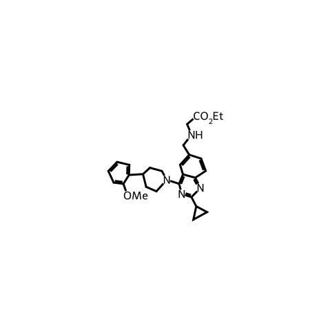 CCOC(=O)CNCc1ccc2nc(C3CC3)nc(N3CCC(c4ccccc4OC)CC3)c2c1